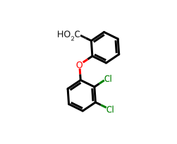 O=C(O)c1ccccc1Oc1cccc(Cl)c1Cl